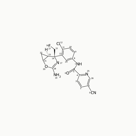 N#Cc1ccc(C(=O)Nc2ccc(Cl)c([C@]3(CF)N=C(N)OC4C[C@H]43)c2)nc1